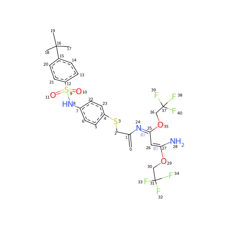 C=C(CSc1ccc(NS(=O)(=O)c2ccc(C(C)(C)C)cc2)cc1)/N=C(\C=C(/N)OCC(F)(F)F)OCC(F)(F)F